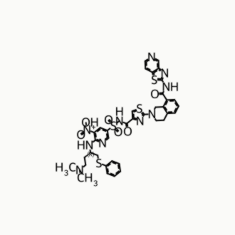 CN(C)CC[C@H](CSc1ccccc1)Nc1ncc(S(=O)(=O)NC(=O)c2csc(N3CCc4cccc(C(=O)Nc5nc6cnccc6s5)c4C3)n2)cc1[N+](=O)O